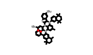 Cc1cc2c3c(c1)N(c1ccc4c(c1)C(C)(C)CCC4(C)C)c1c(sc4ccc(C(C)(C)C)cc14)B3c1cc(C(C)(C)C)ccc1N2c1cc2c(cc1-c1ccccc1)C(C)(C)CCC2C